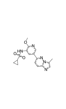 COc1ncc(-c2ccc3ncc(C)n3n2)cc1NS(=O)(=O)C1CC1